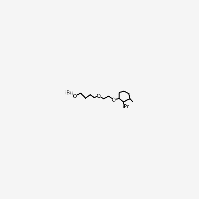 CCC(C)OCCCCOCCOC1CCCC(C)C1C(C)C